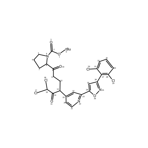 CC(C)(C)OC(=O)N1CCCC1C(=O)CCC(C(=O)C(Cl)Cl)c1ccnc(-c2cc(-c3c(Cl)cccc3Cl)no2)c1